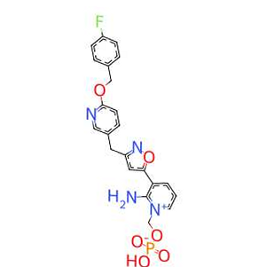 Nc1c(-c2cc(Cc3ccc(OCc4ccc(F)cc4)nc3)no2)ccc[n+]1COP(=O)([O-])O